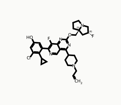 C=CCN1CCC(c2nc(OC[C@@]34CCCN3C[C@H](F)C4)nc3c(F)c(-c4cc(O)cc(Cl)c4C4CC4)ncc23)CC1